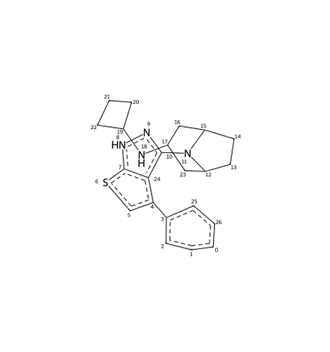 c1ccc(-c2csc3[nH]nc(N4C5CCC4CC(NC4CCC4)C5)c23)cc1